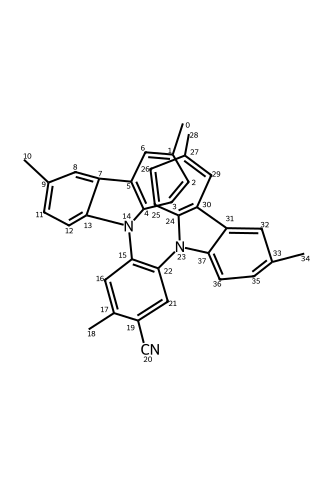 Cc1ccc2c(c1)c1cc(C)ccc1n2-c1cc(C)c(C#N)cc1-n1c2ccc(C)cc2c2cc(C)ccc21